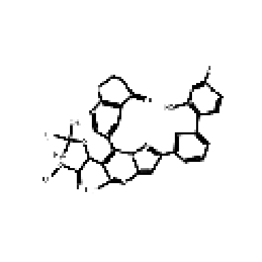 COC(=O)C(OC(C)(C)C)c1c(C)nc2cc(-c3cccc(-c4ccc(F)cc4O)c3)nn2c1-c1ccc2c(c1)C(=O)CCO2